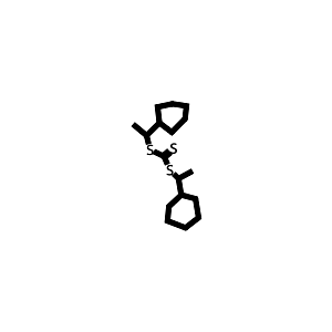 CC(SC(=S)SC(C)C1CCCCC1)C1CCCCC1